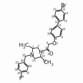 CC1CN(C(=O)COc2ccc(-c3ccc(Br)cc3)cc2)C(C)CN1Cc1ccc(F)cc1